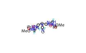 COC(=O)NC(C(=O)N1C[C@H](F)C[C@H]1c1nc2cc([C@H]3CC[C@H](c4ccc5[nH]c([C@@H]6C[C@@H](F)CN6C(=O)C(NC(=O)OC)C(C)C)nc5c4)N3c3cc(F)c(N4CCCCC4)c(F)c3)ccc2[nH]1)C(C)C